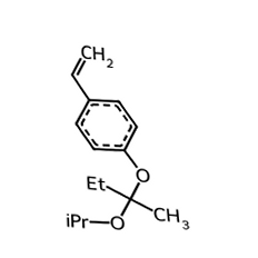 C=Cc1ccc(OC(C)(CC)OC(C)C)cc1